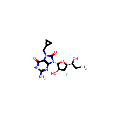 CCC(O)[C@H]1O[C@@H](n2c(=O)n(CC3CC3)c3c(=O)[nH]c(N)nc32)[C@H](O)[C@H]1F